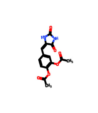 CC(=O)Oc1ccc(C=C2NC(=O)NC2=O)cc1OC(C)=O